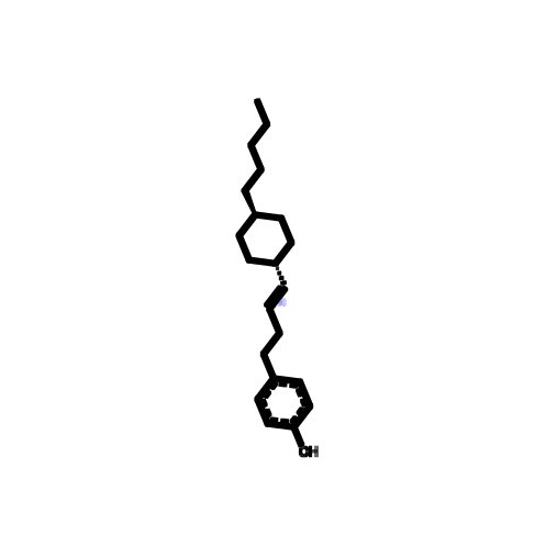 CCCCC[C@H]1CC[C@H](/C=C/CCc2ccc(O)cc2)CC1